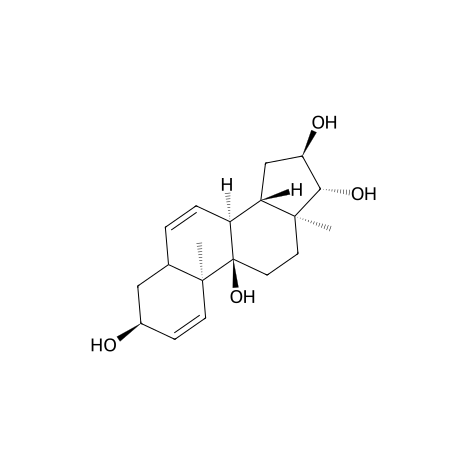 C[C@]12CC[C@@]3(O)[C@@H](C=CC4C[C@H](O)C=C[C@@]43C)[C@@H]1C[C@@H](O)[C@@H]2O